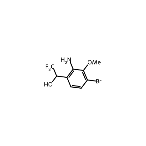 COc1c(Br)ccc(C(O)C(F)(F)F)c1N